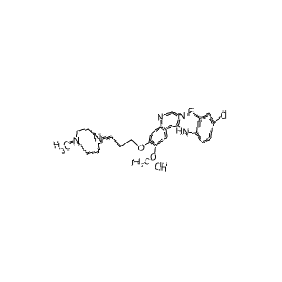 COc1cc2c(Nc3ccc(Cl)cc3F)ncnc2cc1OCCCN1CCN(C)CC1.Cl